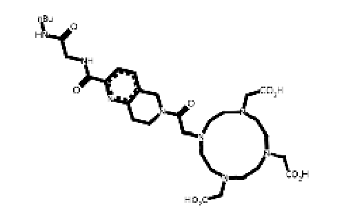 CCCCNC(=O)CNC(=O)c1ccc2c(n1)CCN(C(=O)CN1CCN(CC(=O)O)CCN(CC(=O)O)CCN(CC(=O)O)CC1)C2